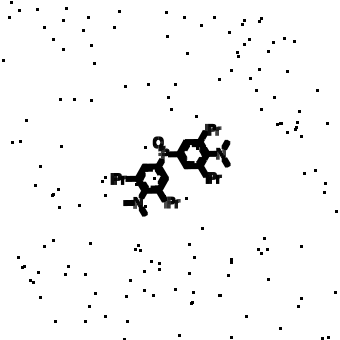 CC(C)c1cc([P](=O)c2cc(C(C)C)c(N(C)C)c(C(C)C)c2)cc(C(C)C)c1N(C)C